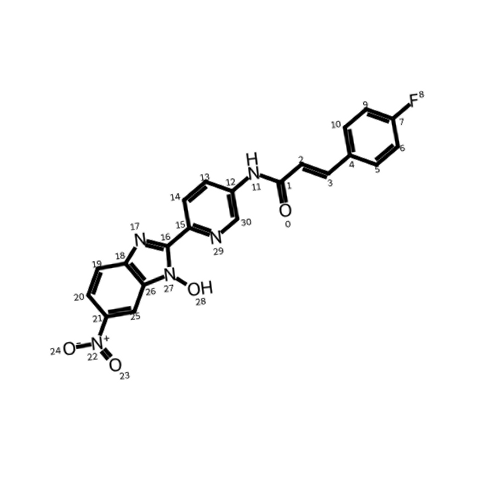 O=C(/C=C/c1ccc(F)cc1)Nc1ccc(-c2nc3ccc([N+](=O)[O-])cc3n2O)nc1